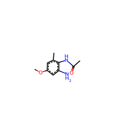 COc1cc(C)c(NC(C)=O)c(N)c1